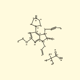 C=CCn1c(=O)n(CC#CC)c2c(N3CCNCC3)nc(OCC)nc21.O=C(O)C(F)(F)F